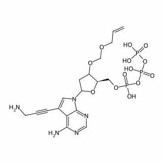 C=CCOCOC1CC(n2cc(C#CCN)c3c(N)ncnc32)O[C@@H]1COP(=O)(O)OP(=O)(O)OP(=O)(O)O